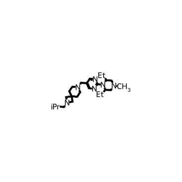 CCC1CN(C)CC(CC)N1c1ncc(CN2CCC3(CC2)CN(CC(C)C)C3)cn1